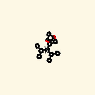 c1ccc(-c2cc(-c3ccccc3)cc(-c3cc(-c4ccc5c(c4)-c4ccccc4C54c5ccccc5-c5ccccc5-c5ccccc54)nc(-c4cc(-c5ccccc5)cc(-c5ccccc5)c4)n3)c2)cc1